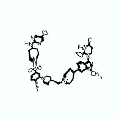 Cn1nc(N2CCC(=O)NC2=O)c2ccc(C3CCN(CC4CCN(c5cc(S(=O)(=O)N6CCC(Nc7ncc(Cl)cn7)CC6)ccc5F)CC4)CC3)cc21